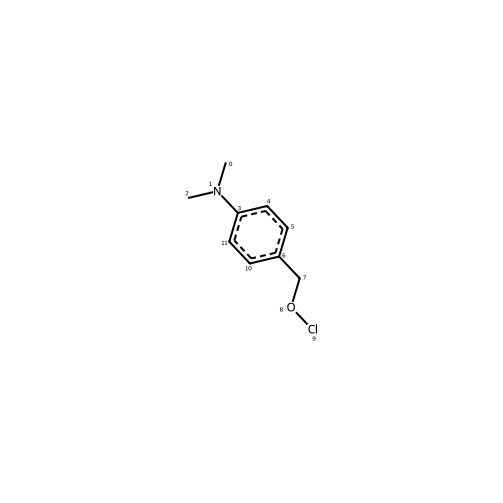 CN(C)c1ccc(COCl)cc1